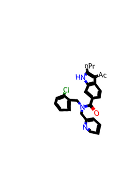 CCCc1[nH]c2cc(C(=O)N(Cc3ccccn3)Cc3ccccc3Cl)ccc2c1C(C)=O